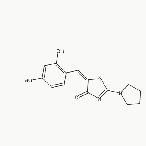 O=C1N=C(N2CCCC2)SC1=Cc1ccc(O)cc1O